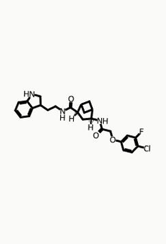 O=C(COc1ccc(Cl)c(F)c1)N[C@@H]1C[C@H](C(=O)NCCC2CNc3ccccc32)C2CC1C2